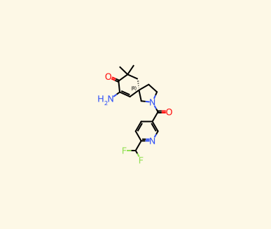 CC1(C)C[C@]2(C=C(N)C1=O)CCN(C(=O)c1ccc(C(F)F)nc1)C2